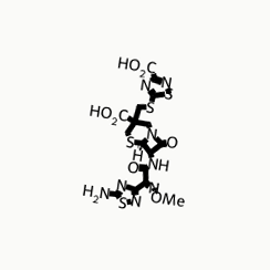 CON=C(C(=O)NC1C(=O)N2CC(CSc3nc(C(=O)O)ns3)(C(=O)O)CS[C@H]12)c1nsc(N)n1